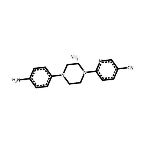 N.N#Cc1ccc(N2CCN(c3ccc(N)cc3)CC2)nc1